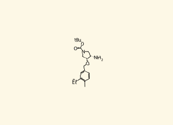 CCc1cc(CO[C@H]2CN(C(=O)OC(C)(C)C)C[C@@H]2N)ccc1C